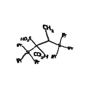 CC(C)[Si](C(C)C)(C(C)C)C(C)C(C(=O)O)([Si](C(C)C)(C(C)C)C(C)C)S(=O)(=O)O